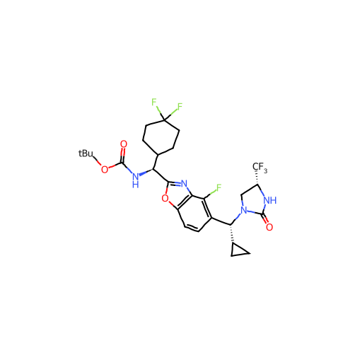 CC(C)(C)OC(=O)N[C@H](c1nc2c(F)c([C@@H](C3CC3)N3C[C@H](C(F)(F)F)NC3=O)ccc2o1)C1CCC(F)(F)CC1